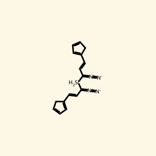 [N-]=[N+]=C(C=CC1=CC=CC1)[SiH2]C(C=CC1=CC=CC1)=[N+]=[N-]